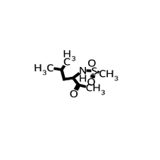 CC(=O)C(CC(C)C)NS(C)(=O)=O